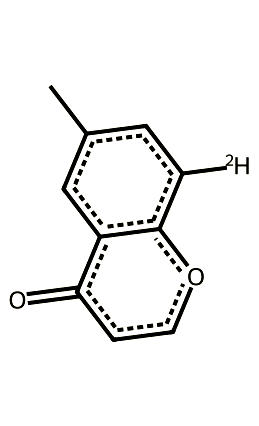 [2H]c1cc(C)cc2c(=O)ccoc12